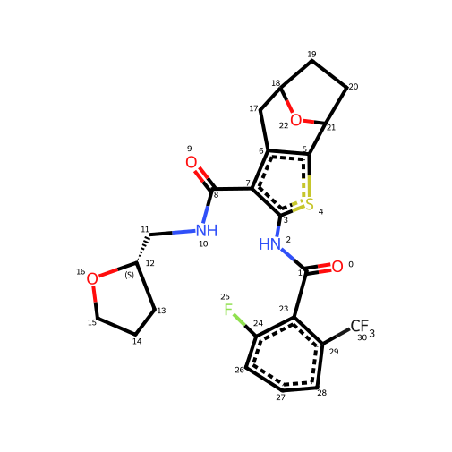 O=C(Nc1sc2c(c1C(=O)NC[C@@H]1CCCO1)CC1CCC2O1)c1c(F)cccc1C(F)(F)F